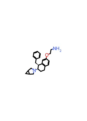 NCCOc1ccc2c(c1)[C@H](Cc1ccccc1)[C@H](N1CC3CC3C1)CC2